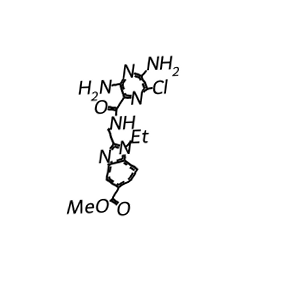 CCn1c(CNC(=O)c2nc(Cl)c(N)nc2N)nc2cc(C(=O)OC)ccc21